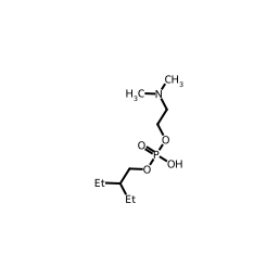 CCC(CC)COP(=O)(O)OCCN(C)C